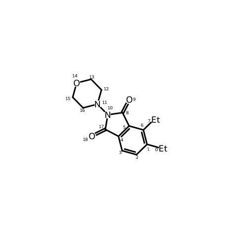 CCc1ccc2c(c1CC)C(=O)N(N1CCOCC1)C2=O